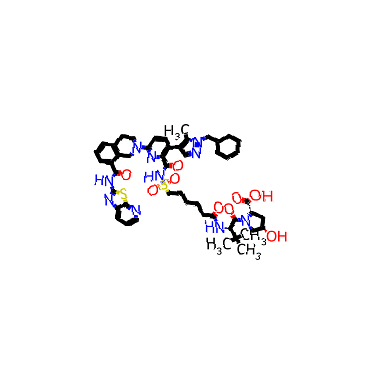 Cc1c(-c2ccc(N3CCc4cccc(C(=O)Nc5nc6cccnc6s5)c4C3)nc2C(=O)NS(=O)(=O)CCCCCC(=O)N[C@H](C(=O)N2C[C@H](O)C[C@H]2C(=O)O)C(C)(C)C)cnn1CC1CCCCC1